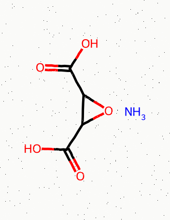 N.O=C(O)C1OC1C(=O)O